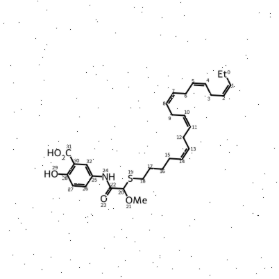 CC/C=C\C/C=C\C/C=C\C/C=C\C/C=C\CCCCSC(OC)C(=O)Nc1ccc(O)c(C(=O)O)c1